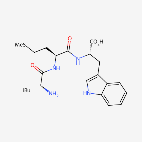 CC[C@H](C)[C@H](N)C(=O)N[C@@H](CCSC)C(=O)N[C@@H](Cc1c[nH]c2ccccc12)C(=O)O